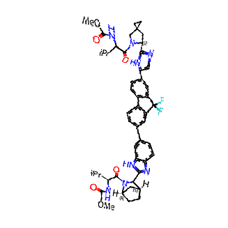 COC(=O)NC(C(=O)N1CC2(CC2)C[C@H]1c1ncc(-c2ccc3c(c2)C(F)(F)c2cc(-c4ccc5nc(C6[C@H]7CC[C@H](C7)N6C(=O)C(NC(=O)OC)C(C)C)[nH]c5c4)ccc2-3)[nH]1)C(C)C